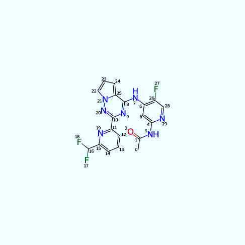 CC(=O)Nc1cc(Nc2nc(-c3cccc(C(F)F)n3)nn3cccc23)c(F)cn1